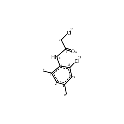 Cc1cc(C)c(NC(=O)CCl)c(Cl)c1